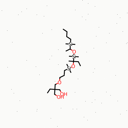 CCCC[Si](C)(C)C(C)O[Si](C)(C)C(C)(CC)O[Si](C)(C)CCCOCC(CC)(CO)CO